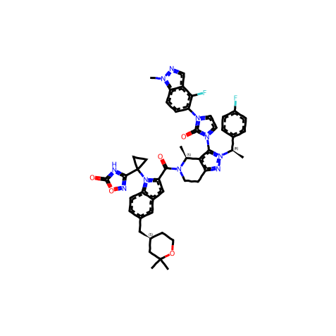 C[C@H](c1ccc(F)cc1)n1nc2c(c1-n1ccn(-c3ccc4c(cnn4C)c3F)c1=O)[C@H](C)N(C(=O)c1cc3cc(C[C@H]4CCOC(C)(C)C4)ccc3n1C1(c3noc(=O)[nH]3)CC1)CC2